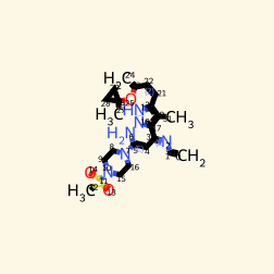 C=C/N=C(\C=C(/N)N1CCN(S(C)(=O)=O)CC1)c1n[nH]c(/C=C\C(=C)OC2(C)CC2)c1C